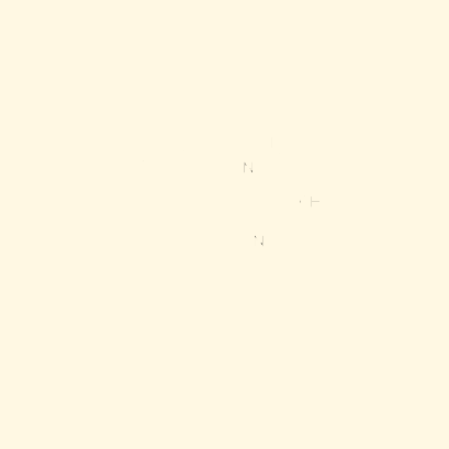 CC(=NCc1ccccc1)N(C)Cc1ccccc1